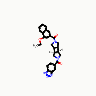 CCOc1cc(C(=O)N2CC3C(C2)[C@@H]2CN(C(=O)c4ccc5[nH]nnc5c4)C[C@H]32)cc2ccccc12